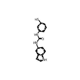 O=C(Nc1cccc(S)c1)Nc1ccc2[nH]ccc2c1